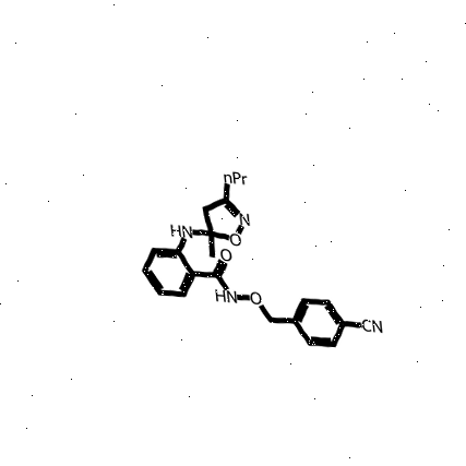 CCCC1=NOC(C)(Nc2ccccc2C(=O)NOCc2ccc(C#N)cc2)C1